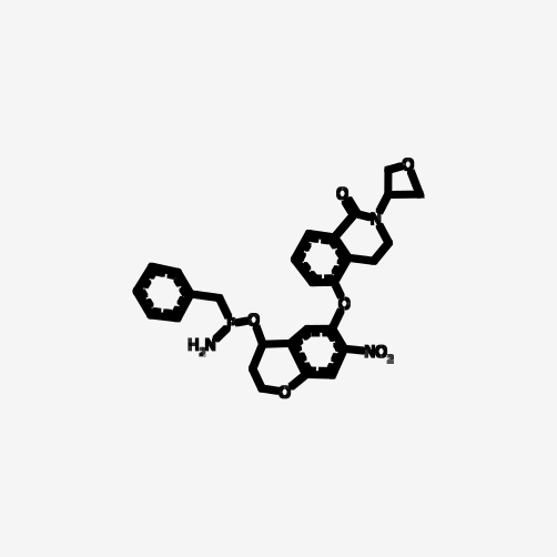 NP(Cc1ccccc1)OC1CCOc2cc([N+](=O)[O-])c(Oc3cccc4c3CCN(C3COC3)C4=O)cc21